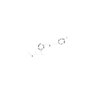 CNC(=O)C1CN(C)c2cc(NC(=O)CCc3ccc(C(C)(C)C)cc3)ccc2O1